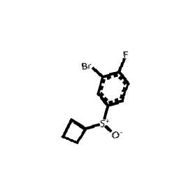 [O-][S+](c1ccc(F)c(Br)c1)C1CCC1